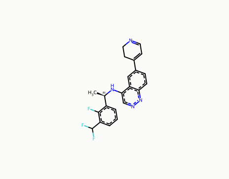 C[C@@H](Nc1cnnc2ccc(C3=CC=NCC3)cc12)c1cccc(C(F)F)c1F